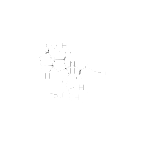 CC(C)(C)OC(=O)N[C@]1(CO[Si](C)(C)C(C)(C)C)C[C@@H]2SC[C@@H](C(=O)O)N2C1=O